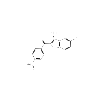 Nc1c(C(=O)c2ccc([N+](=O)[O-])cc2)oc2ccc(Br)cc12